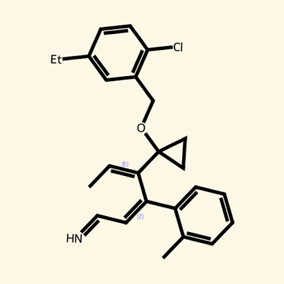 C/C=C(\C(=C/C=N)c1ccccc1C)C1(OCc2cc(CC)ccc2Cl)CC1